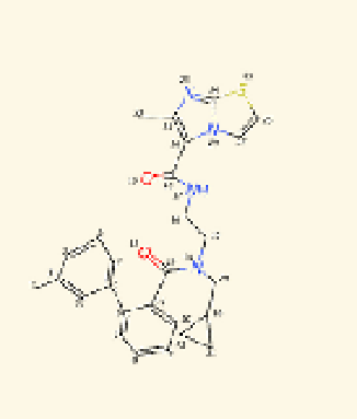 Cc1cccc(-c2ccccc2C(=O)N(CCNC(=O)c2c(C)nc3sccn23)CC2CC2)c1